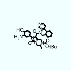 CC1Cn2c(c(C(=O)NCc3ccccc3-c3ccncn3)n(-c3ccc(O)c(N)c3)c2=O)CN1C(=O)OC(C)(C)C